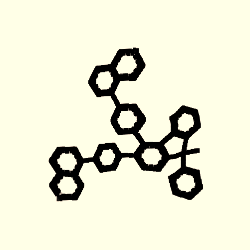 CC1(c2ccccc2)c2ccccc2-c2c1ccc(-c1ccc(-c3cccc4cnccc34)cc1)c2-c1ccc(-c2cccc3cnccc23)cc1